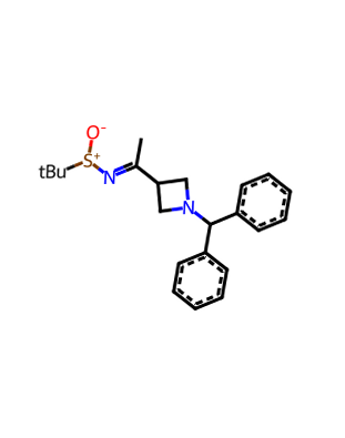 CC(=N[S+]([O-])C(C)(C)C)C1CN(C(c2ccccc2)c2ccccc2)C1